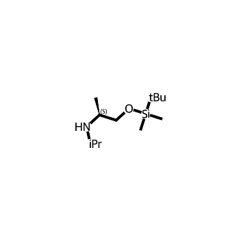 CC(C)N[C@@H](C)CO[Si](C)(C)C(C)(C)C